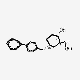 CC(C)(C)N[C@H]1C[C@H](Cc2ccc(-c3ccccc3)cc2)CC[C@@H]1O